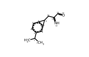 CC(C)c1ccc2c(c1)C2CC(=N)C=O